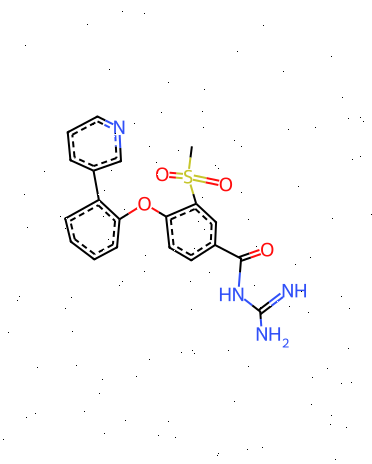 CS(=O)(=O)c1cc(C(=O)NC(=N)N)ccc1Oc1ccccc1-c1cccnc1